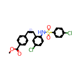 COC(=O)c1ccc(/C=C\c2cc(Cl)ccc2NS(=O)(=O)c2ccc(Cl)cc2)cc1